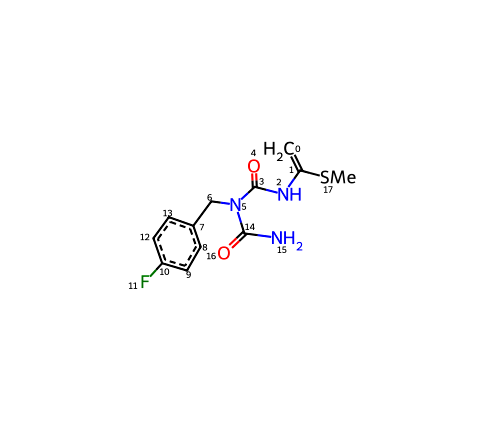 C=C(NC(=O)N(Cc1ccc(F)cc1)C(N)=O)SC